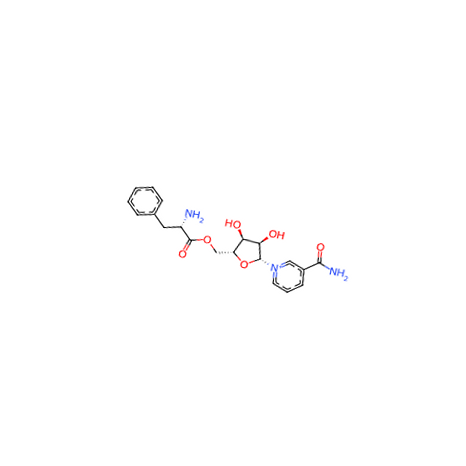 NC(=O)c1ccc[n+]([C@@H]2O[C@H](COC(=O)[C@@H](N)Cc3ccccc3)[C@@H](O)[C@H]2O)c1